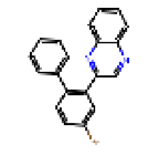 Brc1ccc(-c2ccccc2)c(-c2cnc3ccccc3n2)c1